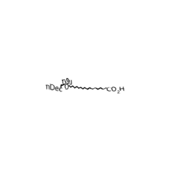 CCCCCCCCCCCC(CCCC)OCCCCCCCCCCCCCCCCCC(=O)O